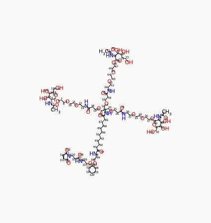 CC(=O)NC1C(OCCOCCOCCNC(=O)CCOCC(COCCC(=O)NCCOCCOCCOC2OC(CO)C(O)C(O)C2NC(C)=O)(COCCC(=O)NCCOCCOCCOC2OC(CO)C(O)C(O)C2NC(C)=O)NC(=O)CCCCCCCCCCC(=O)NCCOC2(OCCNC(=O)CCN3C(=O)C=CC3=O)CCCCC2)OC(CO)C(O)C1O